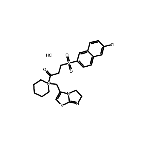 Cl.O=C(CCS(=O)(=O)c1ccc2cc(Cl)ccc2c1)[N+]1(CC2=CSC3=NCCN23)CCCCC1